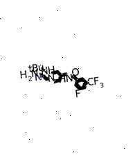 CC(C)(C)N/C(CN1CCC(CNC(=O)c2cc(F)cc(C(F)(F)F)c2)CC1)=N\N